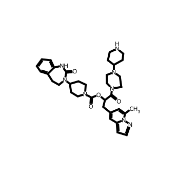 Cc1cc(CC(OC(=O)N2CCC(N3CCc4ccccc4NC3=O)CC2)C(=O)N2CCN(C3CCNCC3)CC2)cc2ccnn12